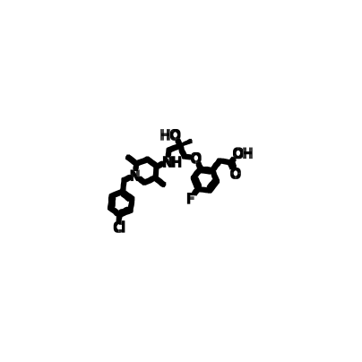 CC1CN(Cc2ccc(Cl)cc2)C(C)CC1NC[C@](C)(O)COc1cc(F)ccc1CC(=O)O